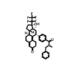 CN(Cc1ccccc1)C(=O)c1ccc([C@H]2C[C@@]3(C)[C@@H](CC[C@@]3(O)C(F)(F)C(F)(F)F)[C@@H]3CCC4=CC(=O)CCC4=C32)cc1